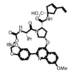 C=CC1=CC[C@@](NC(=O)[C@@H]2C[C@@H](Oc3cc(-c4ccc5c(c4)OCO5)nc4cc(OC)ccc34)CN2C(=O)[C@@H](NC(=O)OC(C)(C)C)C(C)C)(C(=O)O)C1